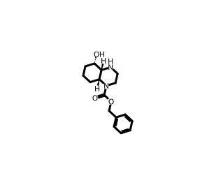 O=C(OCc1ccccc1)N1CCN[C@@H]2[C@H]1CCC[C@@H]2O